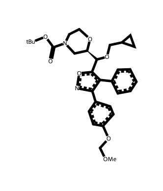 COCOc1ccc(-c2noc(C(OCC3CC3)[C@H]3CN(C(=O)OC(C)(C)C)CCO3)c2-c2ccccc2)cc1